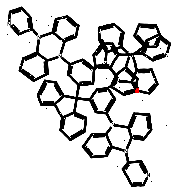 c1cncc(N2c3ccccc3N(c3cc(N4c5ccccc5N(c5cccnc5)c5ccccc54)cc(C4(c5cc(N6c7ccccc7N(c7cccnc7)c7ccccc76)cc(N6c7ccccc7N(c7cccnc7)c7ccccc76)c5)c5ccccc5-c5ccccc54)c3)c3ccccc32)c1